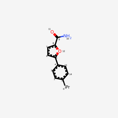 CC(C)c1ccc(-c2ccc(C(N)=O)o2)cc1